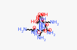 C[C@@H](O)[C@H](NC(=O)[C@H](CCCCN)NC(=O)[C@H](CCC(N)=O)NC(=O)[C@H](CCCCN)NC(=O)CNC(=O)[C@@H](N)CCCCN)C(=O)N[C@@H](CO)C(=O)O